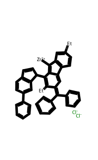 CCc1ccc2c(c1)[C]([Zr+2])=c1c-2cc(=C(c2ccccc2)c2ccccc2)c(CC)c1C1C=Cc2ccc(-c3ccccc3)cc21.[Cl-].[Cl-]